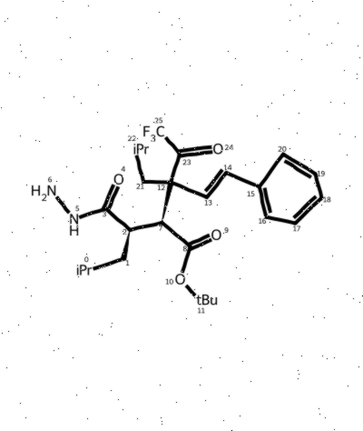 CC(C)C[C@@H](C(=O)NN)[C@H](C(=O)OC(C)(C)C)C(/C=C/c1ccccc1)(CC(C)C)C(=O)C(F)(F)F